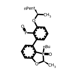 CCCCC[C@@H](C)Oc1cccc(-c2cccc3c2P(=O)(CCCC)[C@@H](C)O3)c1P=O